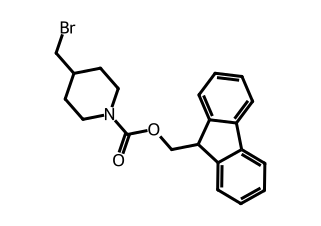 O=C(OCC1c2ccccc2-c2ccccc21)N1CCC(CBr)CC1